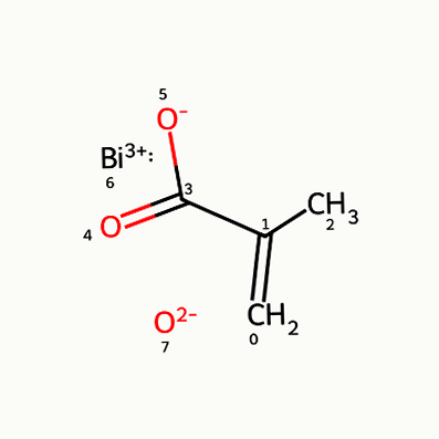 C=C(C)C(=O)[O-].[Bi+3].[O-2]